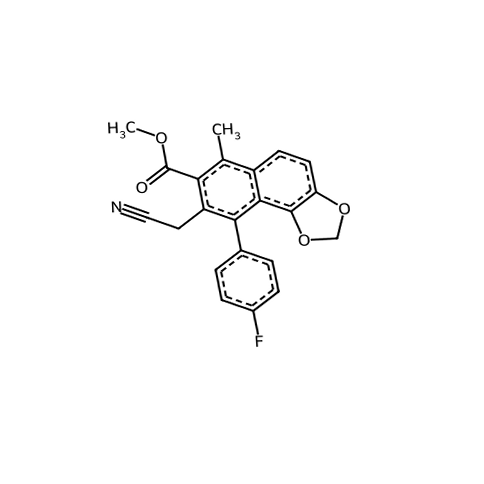 COC(=O)c1c(CC#N)c(-c2ccc(F)cc2)c2c3c(ccc2c1C)OCO3